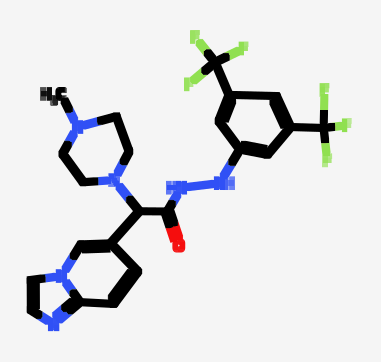 CN1CCN(C(C(=O)NNc2cc(C(F)(F)F)cc(C(F)(F)F)c2)c2ccc3nccn3c2)CC1